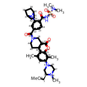 COC[C@H]1CN(c2cc(C)c3c4c(c(=O)oc3c2C)CN(C(=O)c2ccc(C(=O)NS(=O)(=O)N(C)C)c(N3C5CCC3CC5)c2)CC4)CCN1C